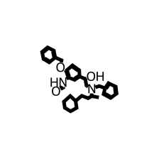 CC(CCC1CCCCC1)N(Cc1ccccc1)CC(O)c1ccc(OCc2ccccc2)c(NC=O)c1